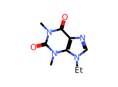 CCn1cnc2c(=O)n(C)c(=O)n(C)c21